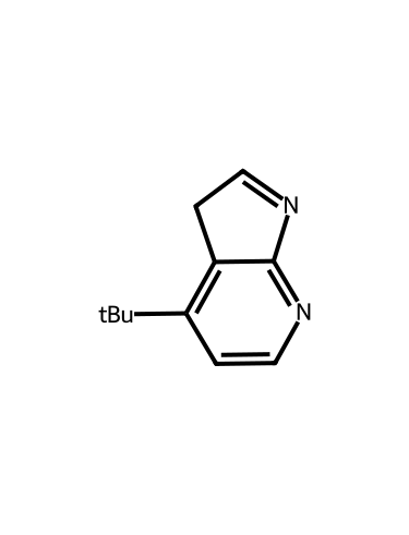 CC(C)(C)c1ccnc2c1CC=N2